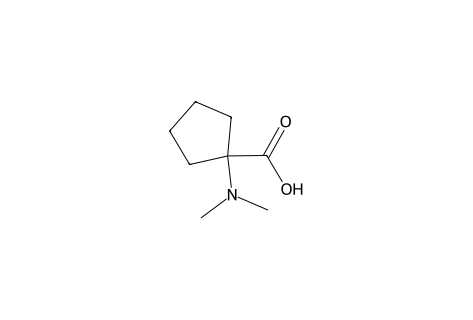 CN(C)C1(C(=O)O)CCCC1